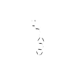 CC(=CC(=O)OC(C)C)COc1ccc(Cc2ccccc2)cc1